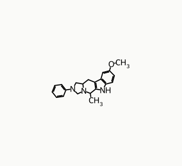 COc1ccc2[nH]c3c(c2c1)CC1CN(c2ccccc2)CN1C3C